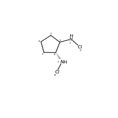 ClNC1CCC[C@H]1NCl